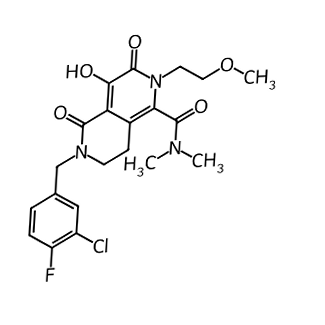 COCCn1c(C(=O)N(C)C)c2c(c(O)c1=O)C(=O)N(Cc1ccc(F)c(Cl)c1)CC2